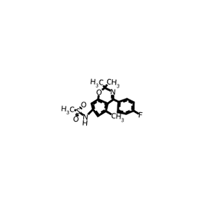 Cc1cc(NS(C)(=O)=O)cc2c1C(c1ccc(F)cc1)=NC(C)(C)O2